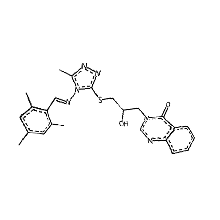 Cc1cc(C)c(C=Nn2c(C)nnc2SCC(O)Cn2cnc3ccccc3c2=O)c(C)c1